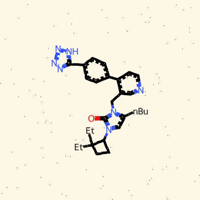 CCCCc1cn(C2CCC2(CC)CC)c(=O)n1Cc1cnccc1-c1ccc(-c2nnn[nH]2)cc1